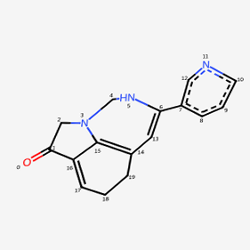 O=C1CN2CNC(c3cccnc3)=CC3=C2C1=CCC3